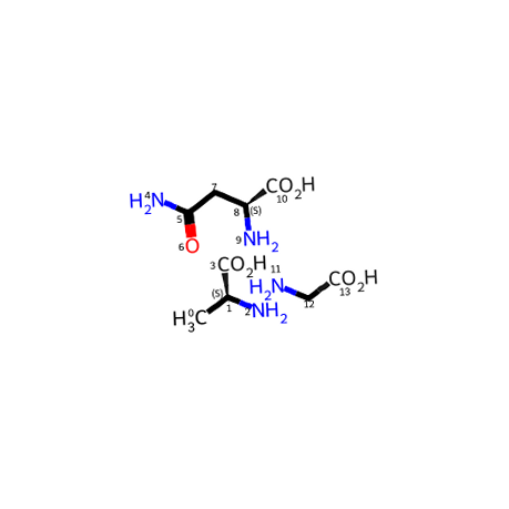 C[C@H](N)C(=O)O.NC(=O)C[C@H](N)C(=O)O.NCC(=O)O